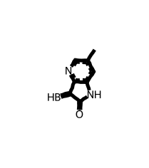 B=C1C(=O)Nc2cc(C)cnc21